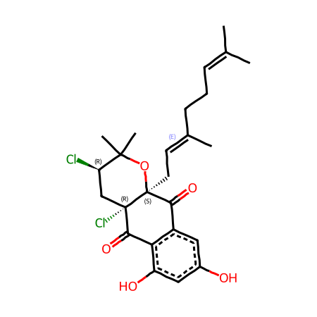 CC(C)=CCC/C(C)=C/C[C@@]12OC(C)(C)[C@H](Cl)C[C@]1(Cl)C(=O)c1c(O)cc(O)cc1C2=O